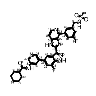 CS(=O)(=O)NCc1cc(F)cc(-c2nccc3[nH]c(-c4n[nH]c5c(F)cc(-c6cncc(NC(=O)C7CCCCC7)c6)cc45)nc23)c1